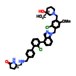 COc1cc(Cn2ncc3c(-c4cccc(-c5ccc(CNC[C@@H]6CCC(=O)N6)cc5)c4Cl)cccc32)c(Cl)cc1CN1CCC[C@@](O)(C(=O)O)C1